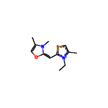 CC[n+]1c(C)csc1C=C1OC=C(C)N1C